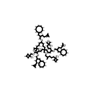 CCC1(CCCC(C)COCC(CCCC(CCCC2(CC)COC2)OCC(CCC2CC2)CC2CCCCCCCC2)(CCCC(CCCC2(CC)COC2)OCC(CCC2CO2)CC2CCCCCCC2)CCCC(COCC2(CC)CCC2)OCC(CCC2CC2)CC2CCCCCCC2)CCC1